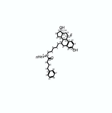 CCCCCCN(CCCCC[C@@H]1Cc2cc(O)ccc2C2C1C1CC[C@H](O)[C@@]1(C)C[C@@H]2F)C(=O)CCCc1ccccc1